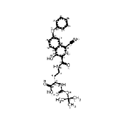 CC(C)(C)OC(=O)N[C@@H](CCNC(=O)c1nc(C#N)c2cc(Oc3ccccc3)ccc2c1O)C(=O)O